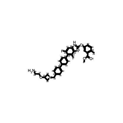 COC(=O)c1cc(Oc2nc3c(F)c(-c4ccc(-c5ccc(CN6CC(OCCN)C6)cc5)cc4)c(F)cc3[nH]2)ccc1C